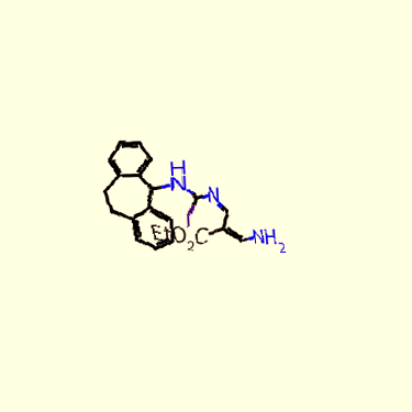 CCOC(=O)C(/C=N\C(I)NC1c2ccccc2CCc2ccccc21)=C/N